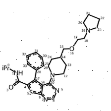 CC(C)NC(=O)c1sc2ncnc(N3CCC(COCCN4CCCC4)CC3)c2c1-c1ccccc1